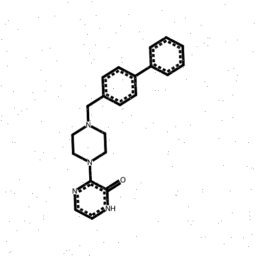 O=c1[nH]ccnc1N1CCN(Cc2ccc(-c3ccccc3)cc2)CC1